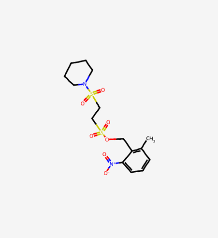 Cc1cccc([N+](=O)[O-])c1COS(=O)(=O)CCS(=O)(=O)N1CCCCC1